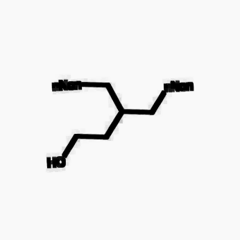 CCCCCCCCCCC(CCO)CCCCCCCCCC